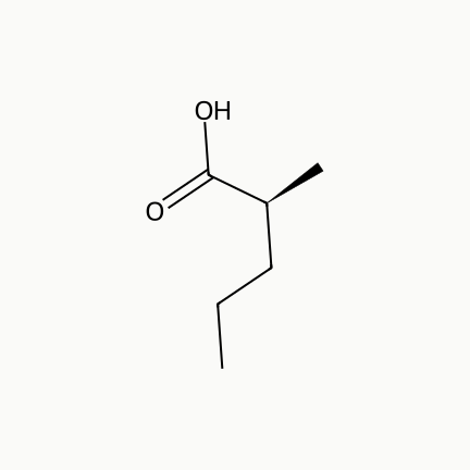 CCC[C@H](C)C(=O)O